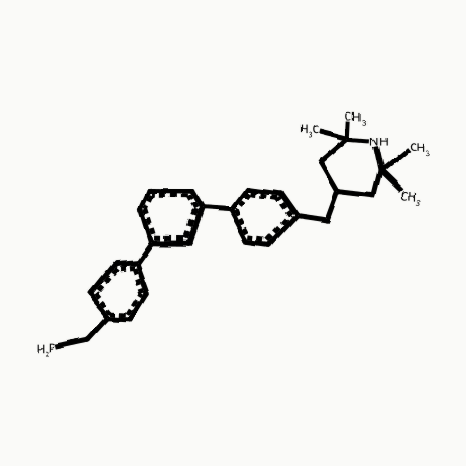 CC1(C)CC(Cc2ccc(-c3cccc(-c4ccc(CP)cc4)c3)cc2)CC(C)(C)N1